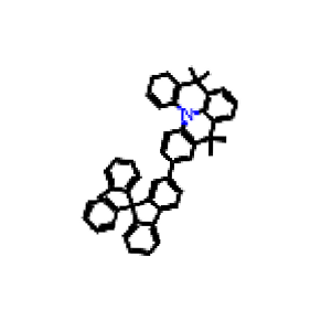 Cc1ccccc1C1(c2ccccc2)c2ccccc2-c2ccc(-c3ccc4c(c3)C(C)(C)c3cccc5c3N4C3=C(CCC=C3)C5(C)C)cc21